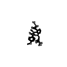 COc1ccc(S(=O)(=O)N(C)c2c(CCC(=O)NO)cccc2C(=O)NO)cc1